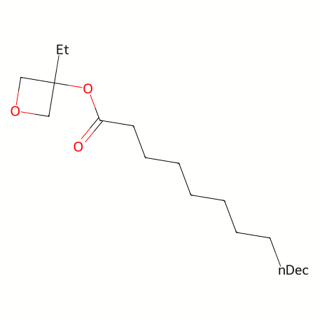 CCCCCCCCCCCCCCCCCC(=O)OC1(CC)COC1